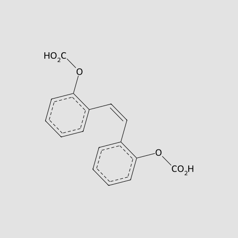 O=C(O)Oc1ccccc1/C=C\c1ccccc1OC(=O)O